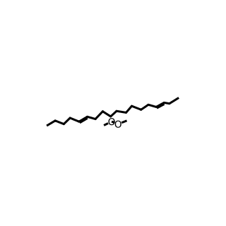 CCC=CCCCCCCCCC=CCCCC.COOC